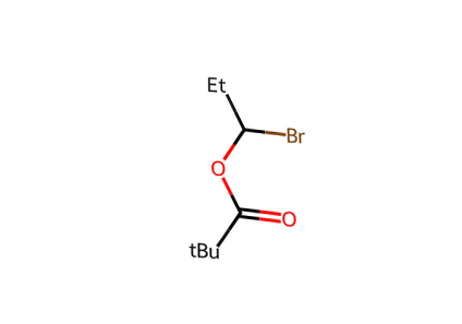 CCC(Br)OC(=O)C(C)(C)C